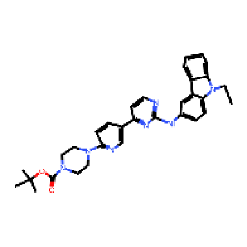 CCn1c2ccccc2c2cc(Nc3nccc(-c4ccc(N5CCN(C(=O)OC(C)(C)C)CC5)nc4)n3)ccc21